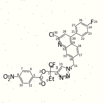 CCC(OC(=O)c1ccc([N+](=O)[O-])cc1)(c1cn(Cc2ccc3c(-c4ccc(F)cc4)cc(Cl)nc3c2)nn1)C(F)(F)F